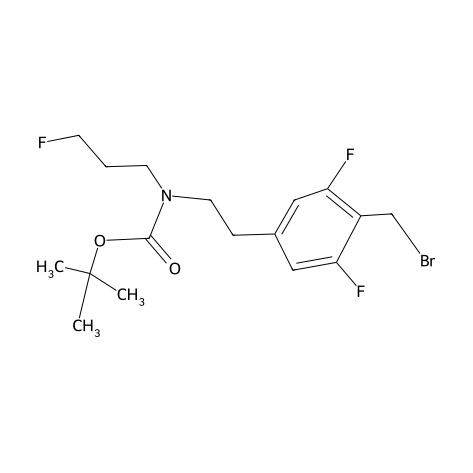 CC(C)(C)OC(=O)N(CCCF)CCc1cc(F)c(CBr)c(F)c1